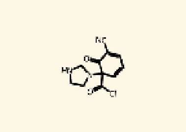 N#CC1=CC=CC(C(=O)Cl)(N2CCNC2)C1=O